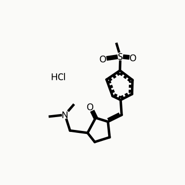 CN(C)CC1CCC(=Cc2ccc(S(C)(=O)=O)cc2)C1=O.Cl